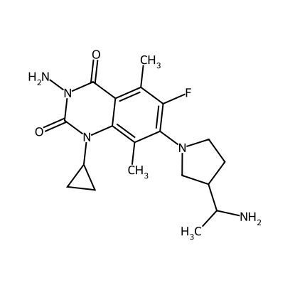 Cc1c(F)c(N2CCC(C(C)N)C2)c(C)c2c1c(=O)n(N)c(=O)n2C1CC1